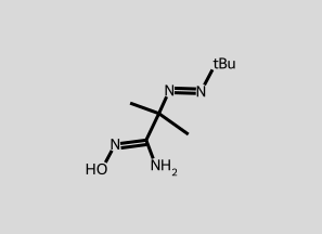 CC(C)(C)N=NC(C)(C)C(N)=NO